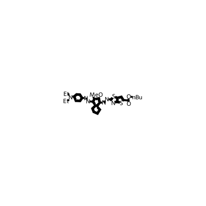 CCCCOC(=O)c1cc2sc(N=Nc3cc(OC)c(N=Nc4ccc(N(CC)CC)cc4)c4ccccc34)nc2s1